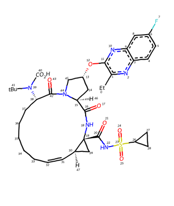 CCc1nc2ccc(F)cc2nc1O[C@@H]1C[C@H]2C(=O)N[C@]3(C(=O)NS(=O)(=O)C4CC4)C[C@H]3C=CCCCCC[C@H](N(C(=O)O)C(C)(C)C)C(=O)N2C1